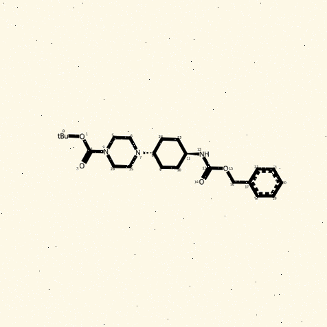 CC(C)(C)OC(=O)N1CCN([C@H]2CC[C@H](NC(=O)OCc3ccccc3)CC2)CC1